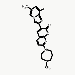 Cc1cc(F)c2nc(-c3cc4ccc(N5CCCN(C)CC5)nc4oc3=O)cn2c1